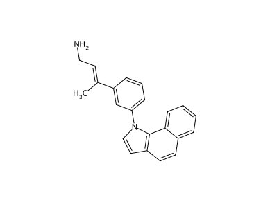 C/C(=C\CN)c1cccc(-n2ccc3ccc4ccccc4c32)c1